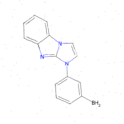 Bc1cccc(-n2ccn3c4ccccc4nc23)c1